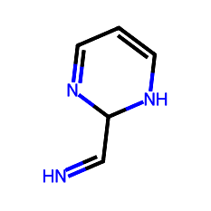 N=CC1N=CC=CN1